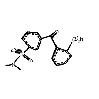 CN(C)S(=O)(=O)c1cccc(C(=O)c2ccccc2C(=O)O)c1